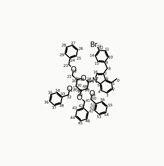 Cc1cccc2c1c(Cc1ccc(Br)cc1)cn2[C@@H]1O[C@H](COCc2ccccc2)[C@@H](OCc2ccccc2)[C@H](OCc2ccccc2)[C@H]1OCc1ccccc1